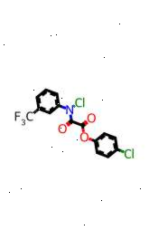 O=C(Oc1ccc(Cl)cc1)C(=O)N(Cl)c1cccc(C(F)(F)F)c1